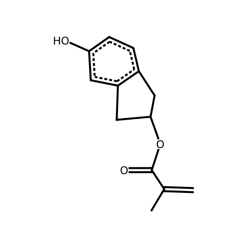 C=C(C)C(=O)OC1Cc2ccc(O)cc2C1